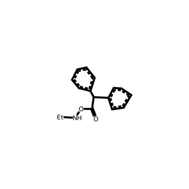 CCNOC(=O)C(c1ccccc1)c1ccccc1